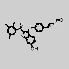 Cc1cc(C)c(C)c(C(=O)c2sc3cc(O)ccc3c2Oc2ccc(/C=C/OC=O)cc2)c1